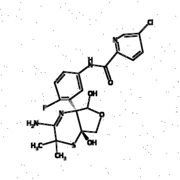 CC1(C)S[C@@]2(O)COC(O)[C@]2(c2cc(NC(=O)c3ccc(Cl)cn3)ccc2F)N=C1N